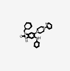 O=c1[nH]c2cc(Nc3ccccc3)c(N3CCN(c4ccccn4)CC3)cc2n1CC1CCCCC1